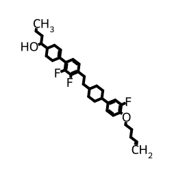 C=CCCCOc1ccc(C2CCC(CCc3ccc(C4=CCC(C(O)CCC)CC4)c(F)c3F)CC2)cc1F